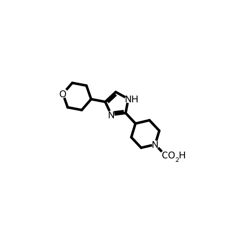 O=C(O)N1CCC(c2nc(C3CCOCC3)c[nH]2)CC1